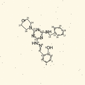 Oc1ccccc1C=NNc1nc(NCc2ccccc2)nc(N2CCOCC2)n1